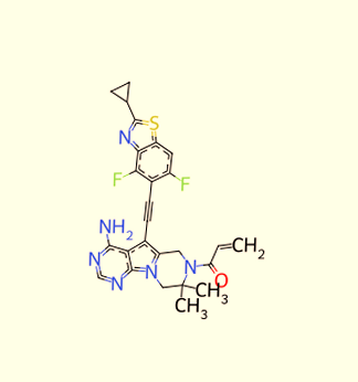 C=CC(=O)N1Cc2c(C#Cc3c(F)cc4sc(C5CC5)nc4c3F)c3c(N)ncnc3n2CC1(C)C